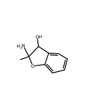 CC1(N)Oc2ccccc2C1O